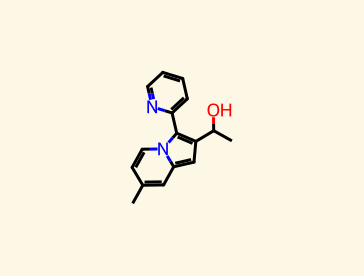 Cc1ccn2c(-c3ccccn3)c(C(C)O)cc2c1